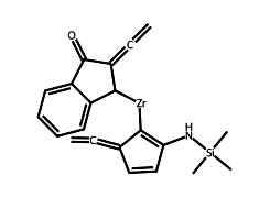 C=C=C1C=CC(N[Si](C)(C)C)=[C]1[Zr][CH]1C(=C=C)C(=O)c2ccccc21